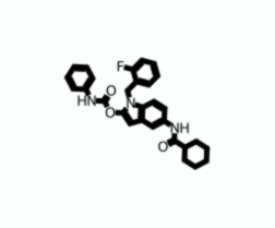 O=C(Nc1ccccc1)Oc1cc2cc(NC(=O)C3CCCCC3)ccc2n1Cc1ccccc1F